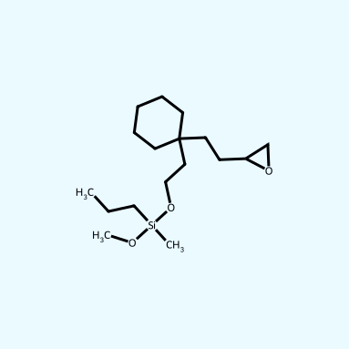 CCC[Si](C)(OC)OCCC1(CCC2CO2)CCCCC1